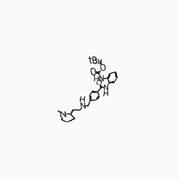 CN1CCCC1CCNCc1ccc(C(=O)Nc2ccccc2NC(=O)OC(C)(C)C)cc1